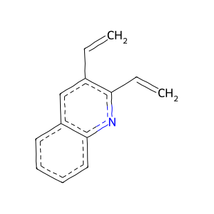 C=Cc1cc2ccccc2nc1C=C